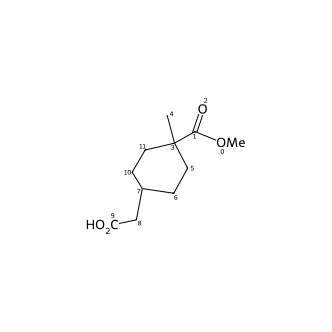 COC(=O)C1(C)CCC(CC(=O)O)CC1